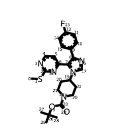 CSc1nccc(-c2c(-c3ccc(F)cc3)ncn2C2CCN(C(=O)OC(C)(C)C)CC2)n1